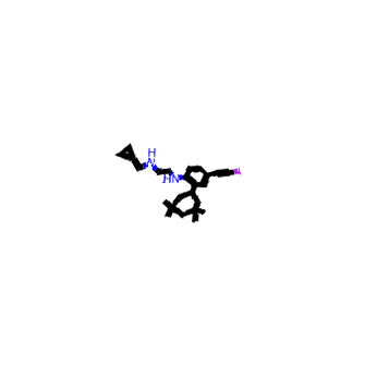 CC1(C)CC(c2cc(C#CI)ccc2NCCNCC2CC2)CC(C)(C)C1